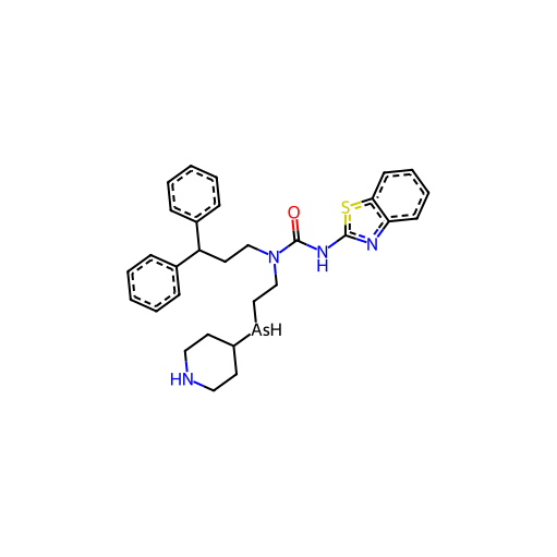 O=C(Nc1nc2ccccc2s1)N(CC[AsH]C1CCNCC1)CCC(c1ccccc1)c1ccccc1